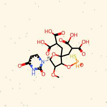 COC1C(O[PH](=O)S)C(CC(C(=O)O)C(=O)O)(CC(C(=O)O)C(=O)O)O[C@H]1n1ccc(=O)[nH]c1=O